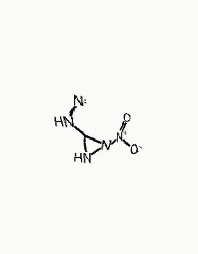 [N]NC1NN1[N+](=O)[O-]